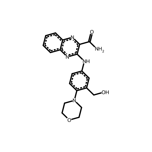 NC(=O)c1nc2ccccc2nc1Nc1ccc(N2CCOCC2)c(CO)c1